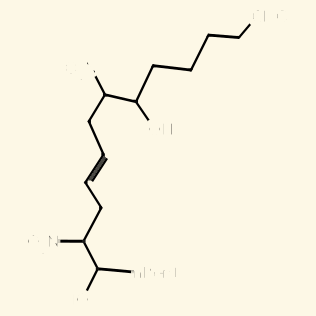 CCCCCC(O)C(CC=CCC(C(O)CCCCC=O)[N+](=O)[O-])[N+](=O)[O-]